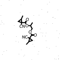 CC(COC(=O)C1(C#N)CC1C)OC(=O)C1(C#N)CC1C